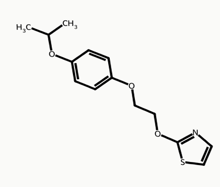 CC(C)Oc1ccc(OCCOc2nccs2)cc1